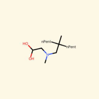 CCCCCC(C)(CCCCC)CN(C)CC(O)O